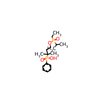 CCP(=O)(OCCC(C)(C)P(=O)(O)c1ccccc1)C(C)C